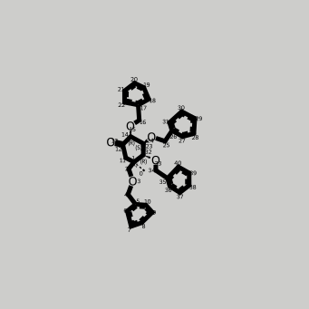 C[C@]1(COCc2ccccc2)CC(=O)[C@H](OCc2ccccc2)[C@@H](OCc2ccccc2)[C@@H]1OCc1ccccc1